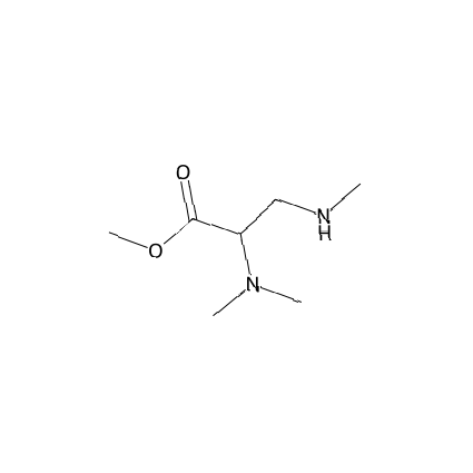 CNCC(C(=O)OC)N(C)C